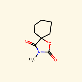 CN1C(=O)OC2(CCCCC2)C1=O